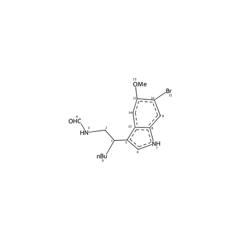 CCCCC(CNC=O)c1c[nH]c2cc(Br)c(OC)cc12